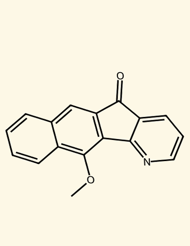 COc1c2c(cc3ccccc13)C(=O)c1cccnc1-2